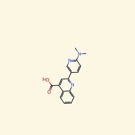 CN(C)c1ccc(-c2cc(C(=O)O)c3ccccc3n2)cn1